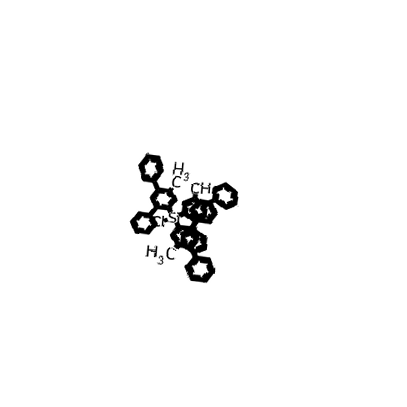 Cc1cc([Si](Cl)(c2cc(C)c(-c3ccccc3)cc2-c2ccccc2)c2cc(C)c(-c3ccccc3)cc2-c2ccccc2)c(-c2ccccc2)cc1-c1ccccc1